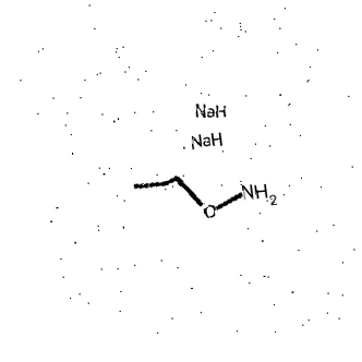 CCON.[NaH].[NaH]